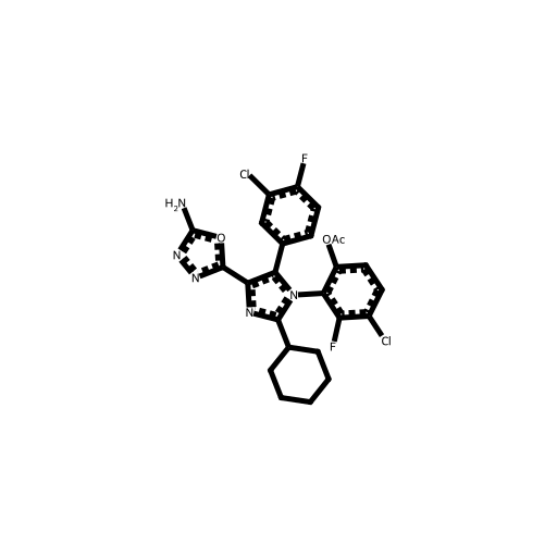 CC(=O)Oc1ccc(Cl)c(F)c1-n1c(C2CCCCC2)nc(-c2nnc(N)o2)c1-c1ccc(F)c(Cl)c1